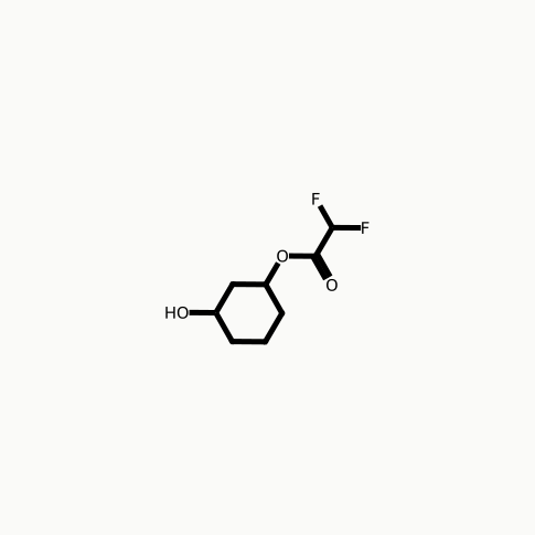 O=C(OC1CCCC(O)C1)C(F)F